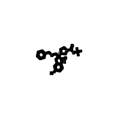 CC(C)(C)OC(=O)N1CC[C@H](C(COCc2ccccc2)(Cc2cccc(Br)c2)C(=O)O)C1